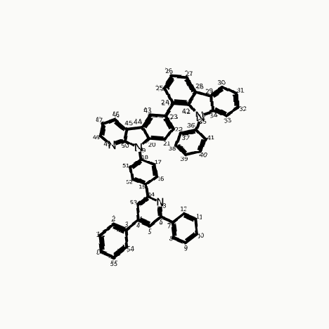 c1ccc(-c2cc(-c3ccccc3)nc(-c3ccc(-n4c5ccc(-c6cccc7c8ccccc8n(-c8ccccc8)c67)cc5c5cccnc54)cc3)c2)cc1